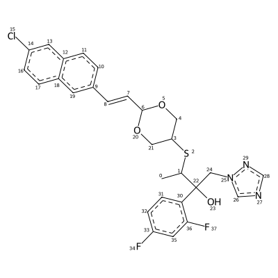 CC(SC1COC(/C=C/c2ccc3cc(Cl)ccc3c2)OC1)C(O)(Cn1cncn1)c1ccc(F)cc1F